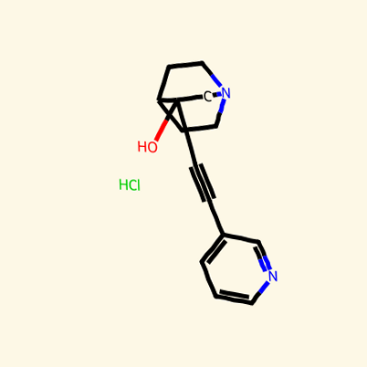 Cl.OC1(C#Cc2cccnc2)CN2CCC1CC2